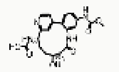 COC(=O)Nc1ccc2c(c1)NC(=O)[C@H](C)C(O)CC[C@H](NC(=O)O)c1cc-2ccn1